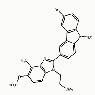 CCn1c2ccc(Br)cc2c2cc(-c3nc4c(C)c(OC(=O)O)ccc4n3CCOC)ccc21